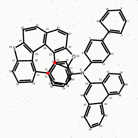 c1ccc(-c2ccc(N(c3ccc(-c4cccc5sc6ccc7ccc8oc9ccccc9c8c7c6c45)cc3)c3cc4ccccc4c4ccccc34)cc2)cc1